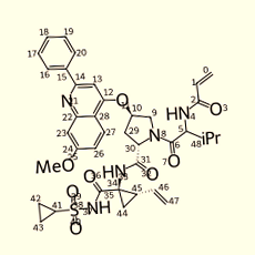 C=CC(=O)NC(C(=O)N1C[C@H](Oc2cc(-c3ccccc3)nc3cc(OC)ccc23)C[C@H]1C(=O)N[C@]1(C(=O)NS(=O)(=O)C2CC2)C[C@H]1C=C)C(C)C